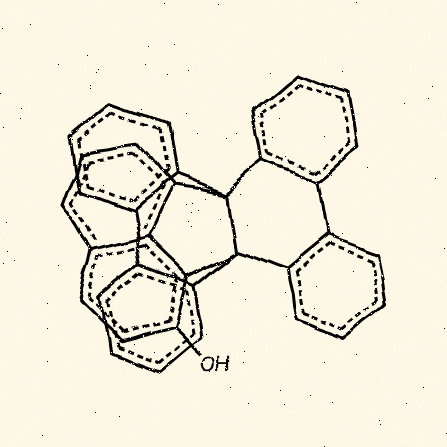 Oc1ccc2cccc3c2c1C12c4ccccc4-c4ccccc4C31c1ccccc1-c1ccccc12